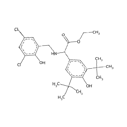 CCOC(=O)C(NCc1cc(Cl)cc(Cl)c1O)c1cc(C(C)(C)C)c(O)c(C(C)(C)C)c1